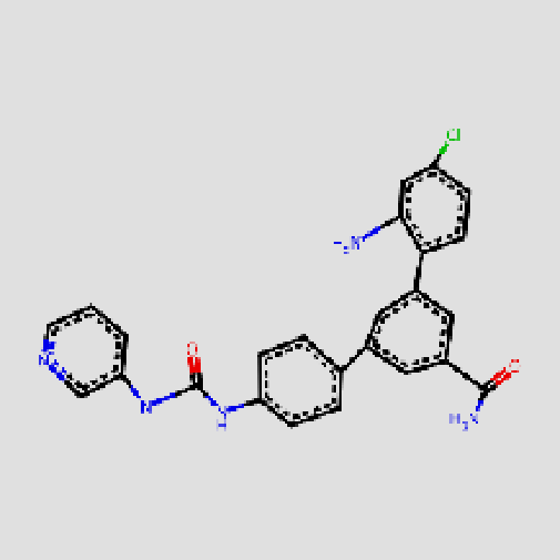 NC(=O)c1cc(-c2ccc(NC(=O)Nc3cccnc3)cc2)cc(-c2ccc(Cl)cc2N)c1